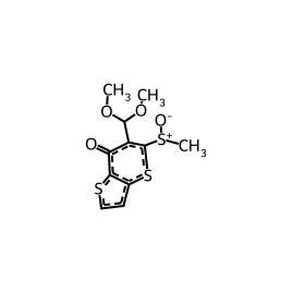 COC(OC)c1c([S+](C)[O-])sc2ccsc2c1=O